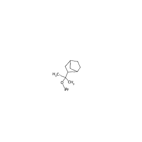 CC(C)OC(C)(C)C1CC2CCC1C2